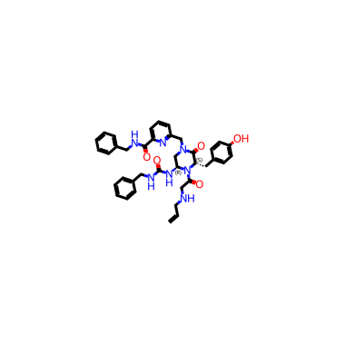 C=CCNCC(=O)N1[C@@H](NC(=O)NCc2ccccc2)CN(Cc2cccc(C(=O)NCc3ccccc3)n2)C(=O)[C@@H]1Cc1ccc(O)cc1